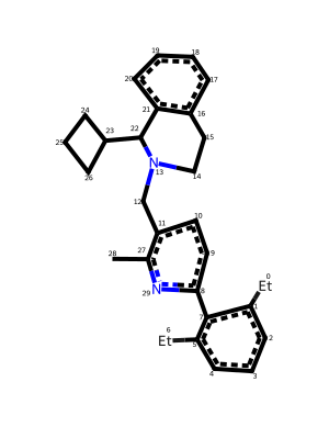 CCc1cccc(CC)c1-c1ccc(CN2CCc3ccccc3C2C2CCC2)c(C)n1